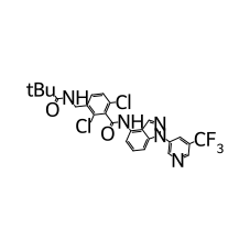 CC(C)(C)C(=O)NCc1ccc(Cl)c(C(=O)Nc2cccc3c2cnn3-c2cncc(C(F)(F)F)c2)c1Cl